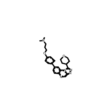 CN(C)CCCOc1ccc(-c2ccc3ncc4nnc(C5CCOCC5)n4c3c2)cc1